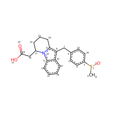 C[S+]([O-])c1ccc(Cc2c3n(c4ccccc24)C(CC(=O)O)CCC3)cc1